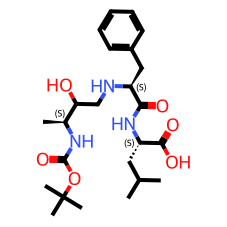 CC(C)C[C@H](NC(=O)[C@H](Cc1ccccc1)NCC(O)[C@H](C)NC(=O)OC(C)(C)C)C(=O)O